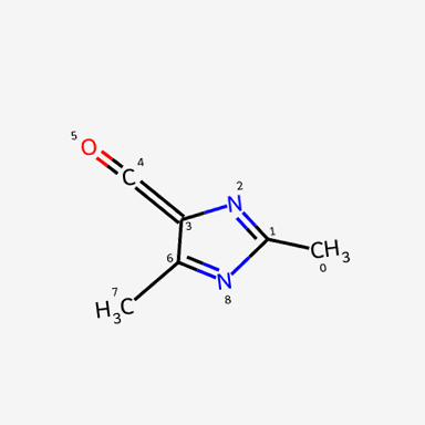 CC1=NC(=C=O)C(C)=N1